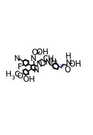 COc1ccc(-c2cnc(N3CCC(C)(NCc4ccc(/C=C/C(=O)NO)cc4)CC3)c(C#N)c2-c2ccc(C#N)c(F)c2)cc1O.O=CO